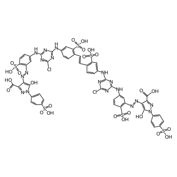 O=C(O)c1nn(-c2ccc(S(=O)(=O)O)cc2)c(O)c1N=Nc1cc(Nc2nc(Cl)nc(Nc3ccc(C=Cc4ccc(Nc5nc(Cl)nc(Nc6ccc(S(=O)(=O)O)c(N=Nc7c(C(=O)O)nn(-c8ccc(S(=O)(=O)O)cc8)c7O)c6)n5)cc4S(=O)(=O)O)c(S(=O)(=O)O)c3)n2)ccc1S(=O)(=O)O